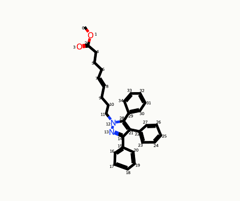 COC(=O)CCCC=CCCCn1nc(-c2ccccc2)c(-c2ccccc2)c1-c1ccccc1